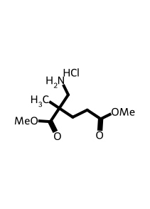 COC(=O)CCC(C)(CN)C(=O)OC.Cl